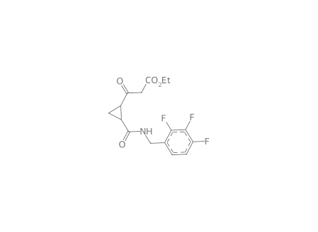 CCOC(=O)CC(=O)C1CC1C(=O)NCc1ccc(F)c(F)c1F